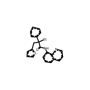 CCC(Cc1cccs1)(C(=O)Nc1cccc2cccnc12)c1ccccc1